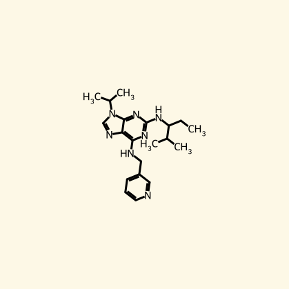 CCC(Nc1nc(NCc2cccnc2)c2ncn(C(C)C)c2n1)C(C)C